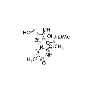 COCC(C)O[C@]1(O)[C@H](O)[C@@H](CO)O[C@H]1n1cc(C)c(=O)[nH]c1=O